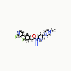 CC(=O)N1CCN(c2ccc(NC(=O)Cc3ccc(-c4ccnc(F)c4)c(F)c3)nc2)CC1